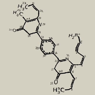 B/C=C/C=C\C1=C(/C=C\C)C(=O)CC(c2ccc(C3=NC(/C=C\C)=C(C)C(=O)C3)cc2)=N1